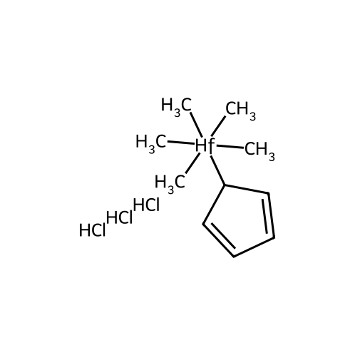 Cl.Cl.Cl.[CH3][Hf]([CH3])([CH3])([CH3])([CH3])[CH]1C=CC=C1